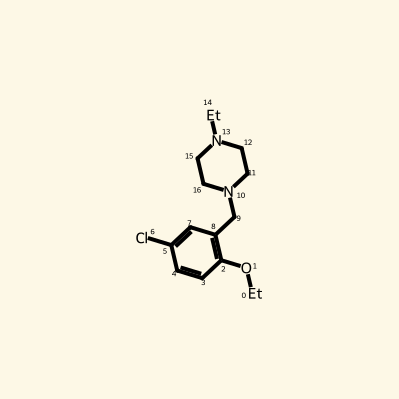 CCOc1ccc(Cl)cc1CN1CCN(CC)CC1